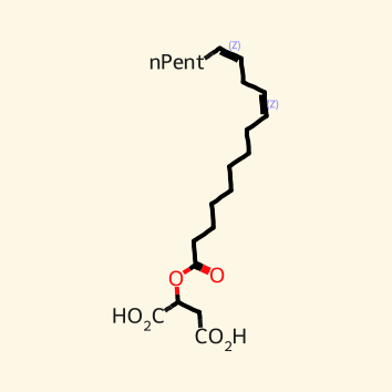 CCCCC/C=C\C/C=C\CCCCCCCC(=O)OC(CC(=O)O)C(=O)O